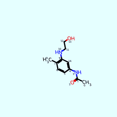 CC(=O)Nc1ccc(C)c(NCCO)c1